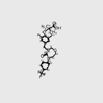 CC(C)(Oc1c(F)cc(CN2COCCN(c3ccc(C(F)(F)F)cc3)C2=O)cc1F)C(=O)O